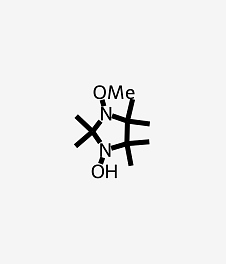 CON1C(C)(C)N(O)C(C)(C)C1(C)C